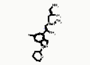 C=NN(/C=C(\N)c1cc(F)cc2c1cnn2C1CCCCO1)C/C(N)=C/N